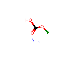 N.O=C(O)OF